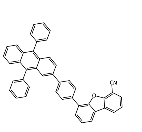 N#Cc1cccc2c1oc1c(-c3ccc(-c4ccc5c(-c6ccccc6)c6ccccc6c(-c6ccccc6)c5c4)cc3)cccc12